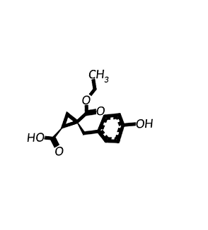 CCOC(=O)[C@@]1(Cc2ccc(O)cc2)C[C@@H]1C(=O)O